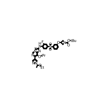 CCOC(C)n1cc(-c2ncn3nc(Nc4ccc(S(=O)(=O)c5cccc(OC6CN(C(=O)OC(C)(C)C)C6)c5)cc4F)nc3c2OC(C)C)cn1